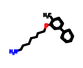 Cc1ccc(-c2ccccc2)cc1OCCCCCCCN